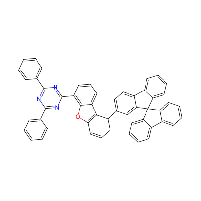 C1=Cc2oc3c(-c4nc(-c5ccccc5)nc(-c5ccccc5)n4)cccc3c2C(c2ccc3c(c2)C2(c4ccccc4-c4ccccc42)c2ccccc2-3)C1